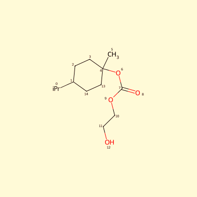 CC(C)C1CCC(C)(OC(=O)OCCO)CC1